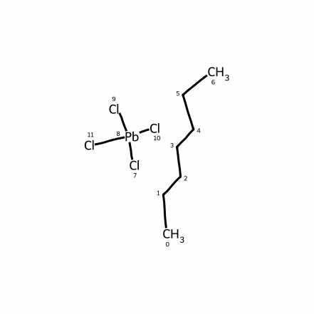 CCCCCCC.[Cl][Pb]([Cl])([Cl])[Cl]